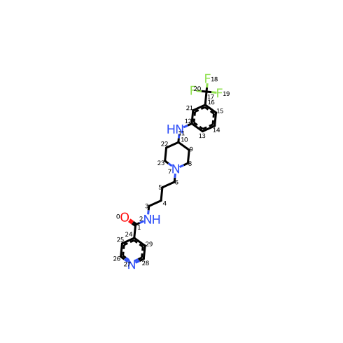 O=C(NCCCCN1CCC(Nc2cccc(C(F)(F)F)c2)CC1)c1ccncc1